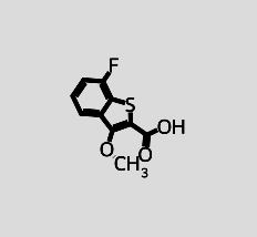 COc1c(C(=O)O)sc2c(F)cccc12